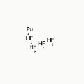 F.F.F.F.[Pu]